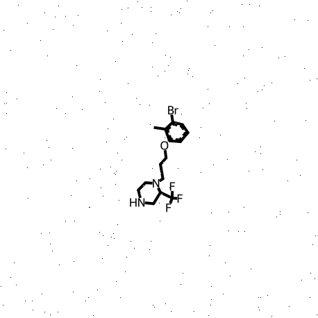 Cc1c(Br)cccc1OCCCN1CCNCC1C(F)(F)F